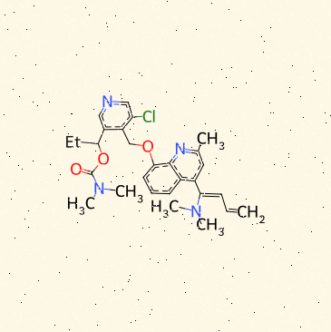 C=C/C=C(/c1cc(C)nc2c(OCc3c(Cl)cncc3C(CC)OC(=O)N(C)C)cccc12)N(C)C